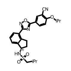 CC(C)CS(=O)(=O)N[C@@H]1CCc2c(-c3noc(-c4ccc(OC(C)C)c(C#N)c4)n3)cccc21